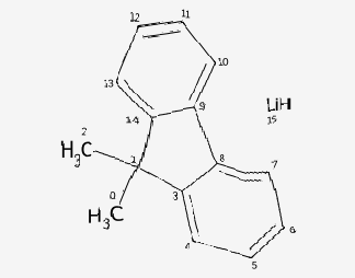 CC1(C)c2ccccc2-c2ccccc21.[LiH]